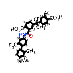 CNc1ccc(-c2ccc(NC(=O)c3cc(C(C)(c4ccc(C(=O)O)c(C(C)=O)c4)C(F)(F)F)ccc3C(=O)O)cc2C(F)(F)F)c(C)c1